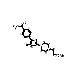 CCC(c1ccc(-c2nc(N3CCN(CCOC)CC3)sc2C)cc1)C(F)(F)F